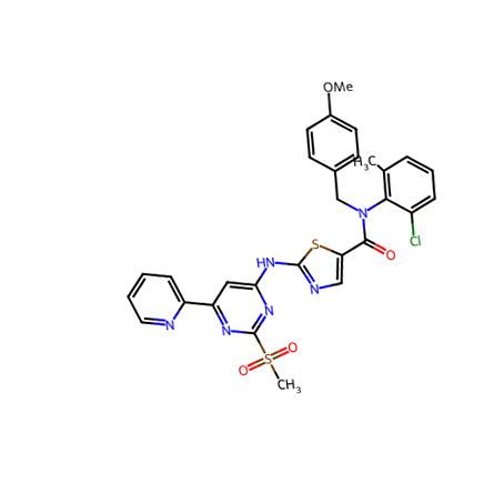 COc1ccc(CN(C(=O)c2cnc(Nc3cc(-c4ccccn4)nc(S(C)(=O)=O)n3)s2)c2c(C)cccc2Cl)cc1